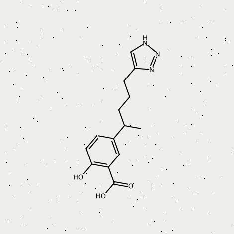 CC(CCCc1c[nH]nn1)c1ccc(O)c(C(=O)O)c1